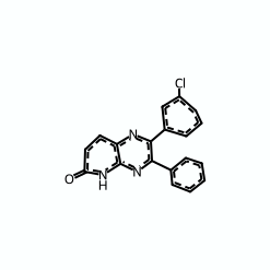 O=c1ccc2nc(-c3cccc(Cl)c3)c(-c3ccccc3)nc2[nH]1